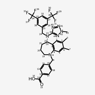 Cc1cc2c(cc1C)N(Cc1ccc(C(=O)O)cc1)CCC[C@@H]2N(Cc1cc(C(F)(F)F)cc(C(F)(F)F)c1)c1nnn(C)n1